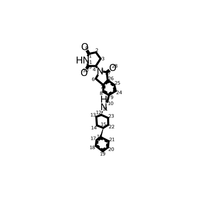 O=C1CCC(N2Cc3cc(CN[C@H]4CC[C@H](c5ccccc5)CC4)ccc3C2=O)C(=O)N1